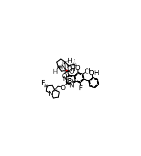 C[C@@H]1Oc2c(Cl)c(-c3ccccc3O)c(F)c3nc(OC[C@@]45CCCN4C[C@H](F)C5)nc(c23)N2C[C@H]3CC[C@@H]([C@@H]12)N3C(=O)OC(C)(C)C